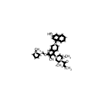 C=CC(=O)N1[C@H](C)CN(c2c(C#N)c(OC[C@@H]3CCCN3C)nc3c2CCN(c2cc(O)cc4ccccc24)C3)C[C@@H]1C